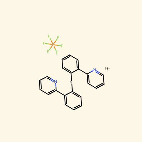 F[P-](F)(F)(F)(F)F.[H+].c1ccc(-c2cccc[c]2[Ir][c]2ccccc2-c2ccccn2)nc1